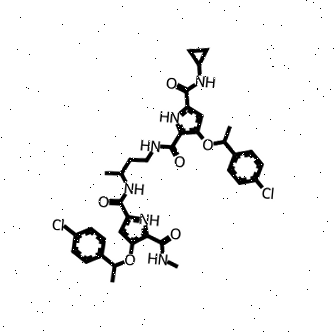 CNC(=O)c1[nH]c(C(=O)NC(C)CCNC(=O)c2[nH]c(C(=O)NC3CC3)cc2OC(C)c2ccc(Cl)cc2)cc1OC(C)c1ccc(Cl)cc1